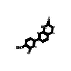 O=Cc1ccc(-c2ccc3c(c2)NC(=O)CC3)cc1F